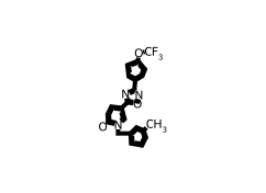 Cc1cccc(Cn2cc(-c3nc(-c4ccc(OC(F)(F)F)cc4)no3)ccc2=O)c1